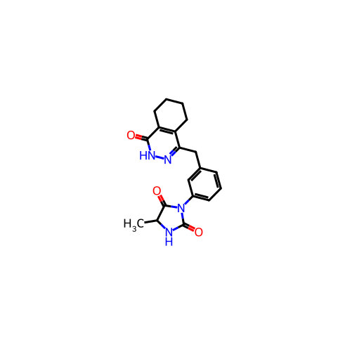 CC1NC(=O)N(c2cccc(Cc3n[nH]c(=O)c4c3CCCC4)c2)C1=O